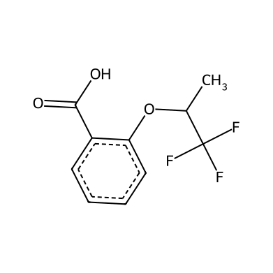 CC(Oc1ccccc1C(=O)O)C(F)(F)F